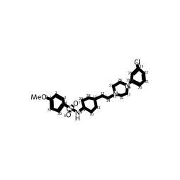 COc1ccc(S(=O)(=O)NC2CCC(CCN3CCN(c4cccc(Cl)c4)CC3)CC2)cc1